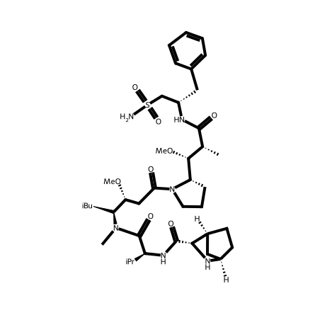 CC[C@H](C)[C@@H]([C@@H](CC(=O)N1CCC[C@H]1[C@H](OC)[C@@H](C)C(=O)N[C@@H](Cc1ccccc1)CS(N)(=O)=O)OC)N(C)C(=O)[C@@H](NC(=O)[C@H]1N[C@@H]2CC[C@H]1C2)C(C)C